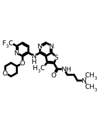 Cc1c(C(=O)NCCCN(C)C)sc2ncnc(Nc3ccc(C(F)(F)F)nc3OC3CCOCC3)c12